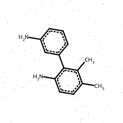 Cc1ccc(N)c(-c2cccc(N)c2)c1C